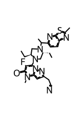 CC[C@H]1CN(C(C)c2ccc3nc(C)sc3n2)[C@H](CC)CN1c1c(F)c(=O)n(C)c2cc(CC#N)nn12